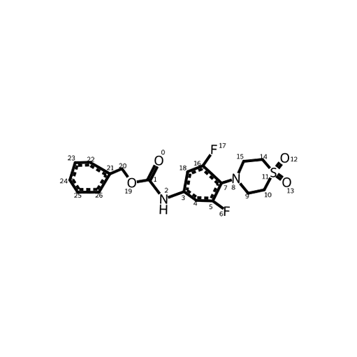 O=C(Nc1cc(F)c(N2CCS(=O)(=O)CC2)c(F)c1)OCc1ccccc1